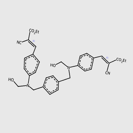 CCOC(=O)/C(C#N)=C/c1ccc(N(CO)Cc2ccc(CN(CO)c3ccc(/C=C(\C#N)C(=O)OCC)cc3)cc2)cc1